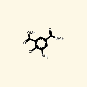 COC(=O)c1cc(N)c(Cl)c(C(=O)OC)c1